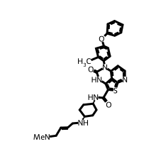 CNC/C=C/CN[C@H]1CC[C@@H](NC(=O)c2sc3nccc4c3c2NC(=O)N4c2ccc(Oc3ccccc3)cc2C)CC1